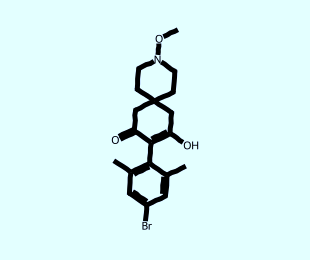 CON1CCC2(CC1)CC(=O)C(c1c(C)cc(Br)cc1C)=C(O)C2